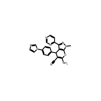 Cn1nc(-c2ccncn2)c2c1OC(N)=C(C#N)C2c1ccc(-n2ccnc2)cc1